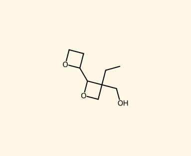 CCC1(CO)COC1C1CCO1